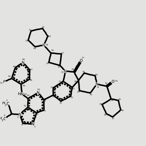 CC(C)n1cnc2cc(-c3ccc4c(c3)N(C3CC(N5CCCCC5)C3)C(=O)C43CCN(C(=O)C4CCCCC4)CC3)nc(Nc3ccncc3F)c21